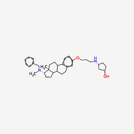 CN(Cc1ccccc1)[C@H]1CCC2C3CCc4cc(OCCCN[C@@H]5CC[C@@H](O)C5)ccc4C3CC[C@@]21C